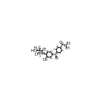 CCN(CC)C(=O)c1ccc([S+]([O-])c2ccc(NC(=O)[C@@](C)(O)C(F)(F)F)c(Cl)c2)cc1